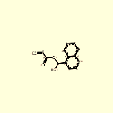 C=CC(=O)OC(O)c1cccc2ccccc12